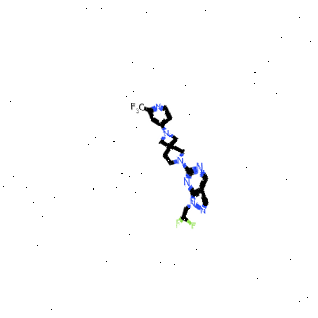 FC(F)Cn1ncc2cnc(N3CCC4(CN(c5ccnc(C(F)(F)F)c5)C4)C3)nc21